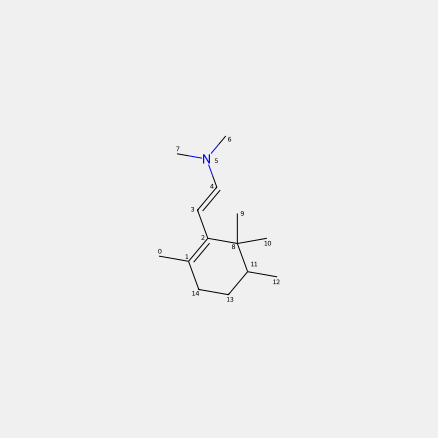 CC1=C(C=CN(C)C)C(C)(C)C(C)CC1